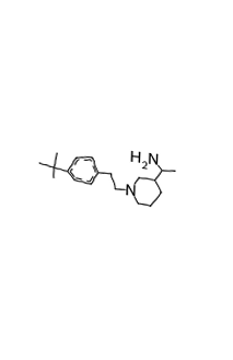 CC(N)C1CCCN(CCc2ccc(C(C)(C)C)cc2)C1